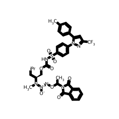 Cc1ccc(-c2cc(C(F)(F)F)nn2-c2ccc(S(=O)(=O)NC(=O)OC[C@H](CC(C)C)N(C)[N+]([O-])=NOC(C)N3C(=O)c4ccccc4C3=O)cc2)cc1